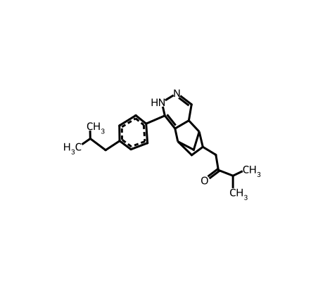 CC(C)Cc1ccc(C2=C3C4CC(CC(=O)C(C)C)C(C4)C3C=NN2)cc1